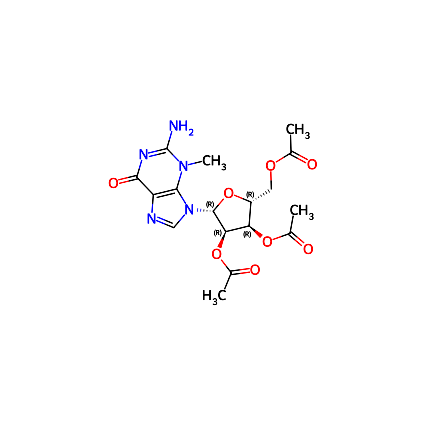 CC(=O)OC[C@H]1O[C@@H](n2cnc3c(=O)nc(N)n(C)c32)[C@H](OC(C)=O)[C@@H]1OC(C)=O